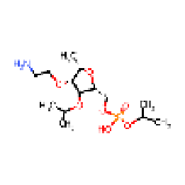 CC(C)OC1[C@@H](COP(=O)(O)OC(C)C)O[C@@H](C)[C@H]1OCCN